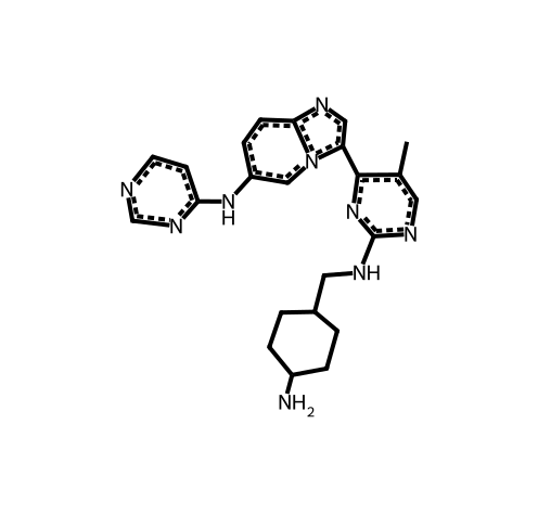 Cc1cnc(NCC2CCC(N)CC2)nc1-c1cnc2ccc(Nc3ccncn3)cn12